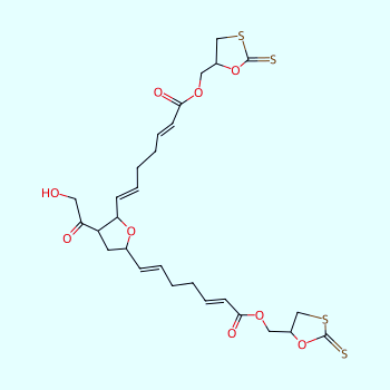 O=C(/C=C/CC/C=C/C1CC(C(=O)CO)C(/C=C/CC/C=C/C(=O)OCC2CSC(=S)O2)O1)OCC1CSC(=S)O1